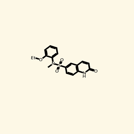 CCOc1ccccc1N(C)S(=O)(=O)c1ccc2[nH]c(=O)ccc2c1